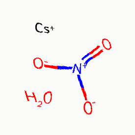 O.O=[N+]([O-])[O-].[Cs+]